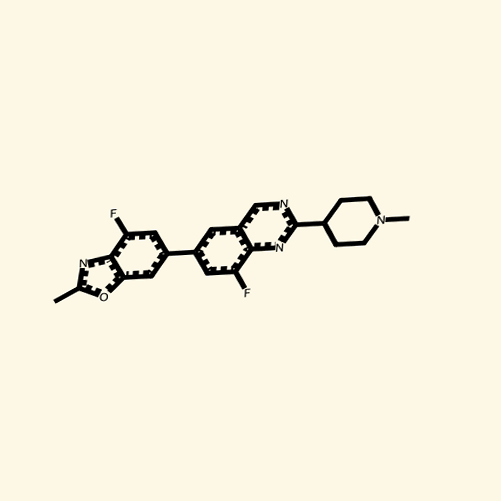 Cc1nc2c(F)cc(-c3cc(F)c4nc(C5CCN(C)CC5)ncc4c3)cc2o1